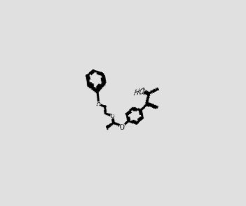 C=C(c1ccc(OC(C)OCCOc2ccccc2)cc1)C(C)O